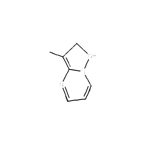 CC1=C2N=CC=CN2NC1